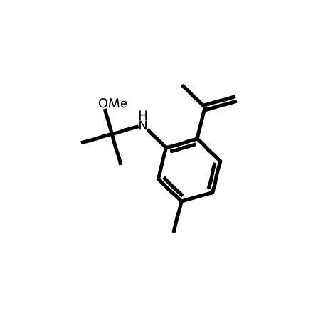 C=C(C)c1ccc(C)cc1NC(C)(C)OC